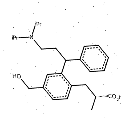 CC(C)N(CCC(c1ccccc1)c1cc(CO)ccc1C[C@@H](C)C(=O)O)C(C)C